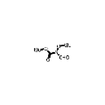 CC(C)(C)OC(=O)N(C=O)OC(C)(C)C